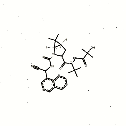 CC(C)(O)C(=O)N[C@H](C(=O)N1C[C@H]2[C@@H]([C@H]1C(=O)NC(C#N)c1cncc3cccnc13)C2(C)C)C(C)(C)C